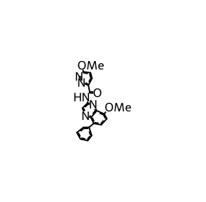 COc1ccc(C(=O)Nc2cnc3c(-c4ccccc4)ccc(OC)c3n2)nn1